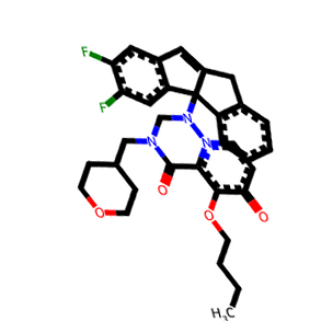 CCCCOc1c2n(ccc1=O)N(C13C(=Cc4cc(F)c(F)cc41)Cc1ccccc13)CN(CC1CCOCC1)C2=O